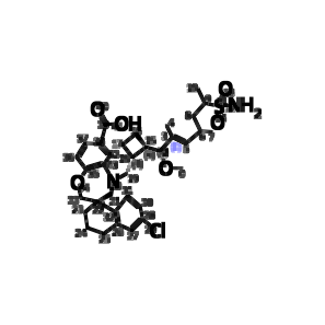 CO[C@@H](/C(C)=C/C(C)CC(C)S(N)(=O)=O)[C@@H]1CC[C@H]1CN1C[C@@]2(CCCc3cc(Cl)ccc32)COc2ccc(C(=O)O)cc21